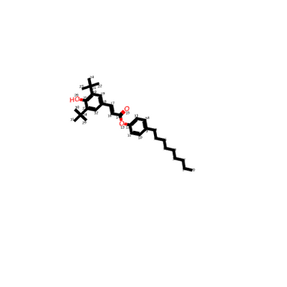 CCCCCCCCCc1ccc(OC(=O)C=Cc2cc(C(C)(C)C)c(O)c(C(C)(C)C)c2)cc1